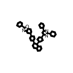 c1ccc(-c2cc(-c3ccc(-c4c(-c5ccc(-c6ccc7oc(-c8ccccc8)nc7c6)cc5)ccc5ccccc45)cc3)nc(-c3ccccc3)n2)cc1